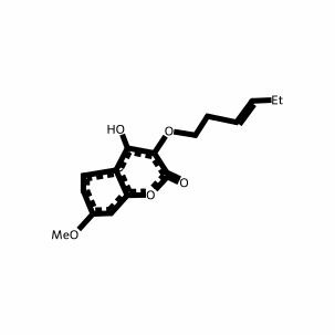 CC/C=C/CCOc1c(O)c2ccc(OC)cc2oc1=O